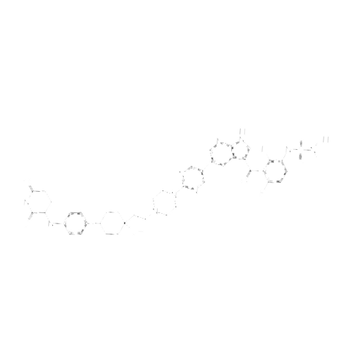 CCN(C)S(=O)(=O)Nc1ccc(F)c(C(=O)c2c[nH]c3ncc(-c4cnc(N5CCN(CCC6(O)CCC(c7ccc(NC8CCC(=O)NC8=O)cc7)CC6)CC5)nc4)cc23)c1F